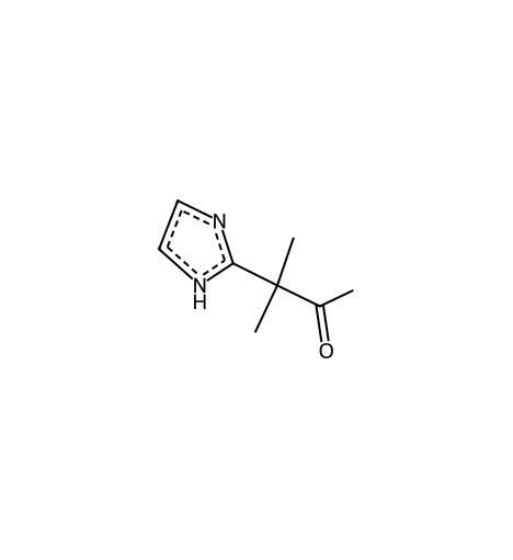 CC(=O)C(C)(C)c1ncc[nH]1